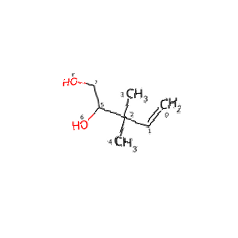 C=CC(C)(C)C(O)CO